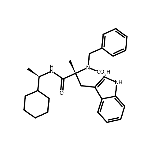 C[C@@H](NC(=O)[C@@](C)(Cc1c[nH]c2ccccc12)N(Cc1ccccc1)C(=O)O)C1CCCCC1